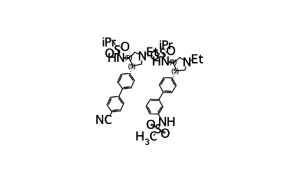 CCN1C[C@H](NS(=O)(=O)C(C)C)[C@@H](c2ccc(-c3ccc(C#N)cc3)cc2)C1.CCN1C[C@H](NS(=O)(=O)C(C)C)[C@@H](c2ccc(-c3cccc(NS(C)(=O)=O)c3)cc2)C1